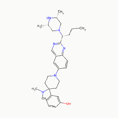 CCC[C@H](c1ncc2cc(N3CCC(c4cccc(O)c4)(N(C)C)CC3)ccc2n1)N1C[C@@H](C)N[C@@H](C)C1